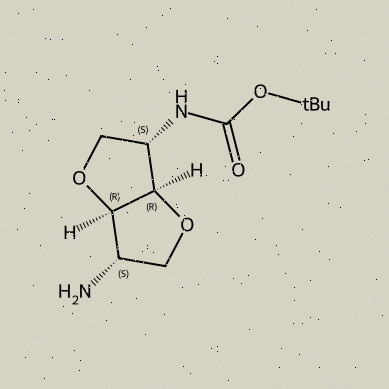 CC(C)(C)OC(=O)N[C@H]1CO[C@H]2[C@@H]1OC[C@@H]2N